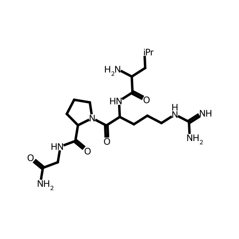 CC(C)CC(N)C(=O)NC(CCCNC(=N)N)C(=O)N1CCCC1C(=O)NCC(N)=O